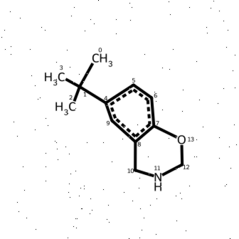 CC(C)(C)c1ccc2c(c1)CNCO2